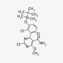 COc1nc(Cl)nc(-c2c(Cl)ccc(O[Si](C)(C)C(C)(C)C)c2Cl)c1C(N)=O